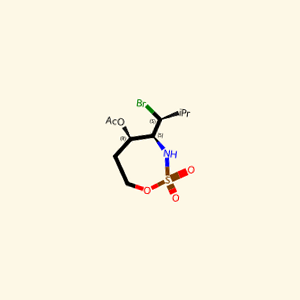 CC(=O)O[C@@H]1CCOS(=O)(=O)N[C@@H]1[C@@H](Br)C(C)C